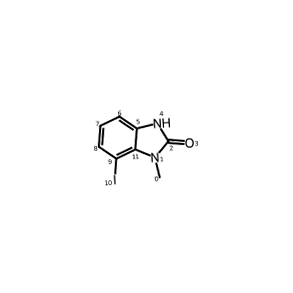 Cn1c(=O)[nH]c2cccc(I)c21